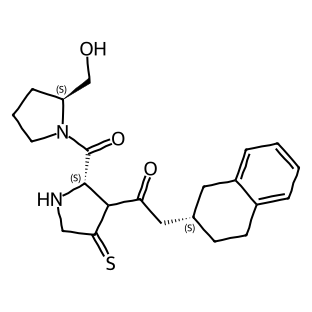 O=C(C[C@H]1CCc2ccccc2C1)C1C(=S)CN[C@@H]1C(=O)N1CCC[C@H]1CO